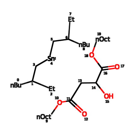 CCCCC(CC)[CH2][Sn][CH2]C(CC)CCCC.CCCCCCCCOC(=O)CC(O)C(=O)OCCCCCCCC